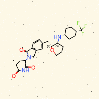 O=C1CCC(N2Cc3cc(C[C@H]4OCCC[C@@H]4N[C@H]4CC[C@@H](C(F)(F)F)CC4)ccc3C2=O)C(=O)N1